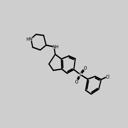 O=S(=O)(c1cccc(Cl)c1)c1ccc2c(c1)CCC2NC1CCNCC1